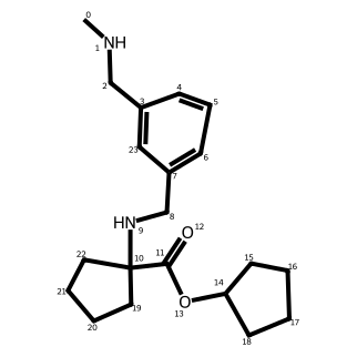 CNCc1cccc(CNC2(C(=O)OC3CCCC3)CCCC2)c1